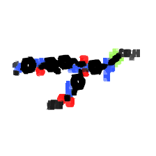 Cc1cc(C(=O)NC2CCC(N(C)C)CC2)ccc1-c1ccc(C[C@H](NC(=O)[C@H]2CC[C@H](CNC(=O)OC(C)(C)C)CC2)C(=O)Nc2ccc(-c3nc(C(F)(F)C(F)(F)C(=O)O)n[nH]3)cc2)cc1